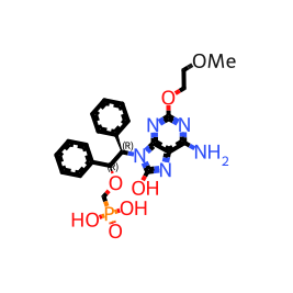 COCCOc1nc(N)c2nc(O)n([C@H](c3ccccc3)[C@H](OCP(=O)(O)O)c3ccccc3)c2n1